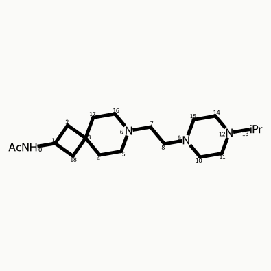 CC(=O)NC1CC2(CCN(CCN3CCN(C(C)C)CC3)CC2)C1